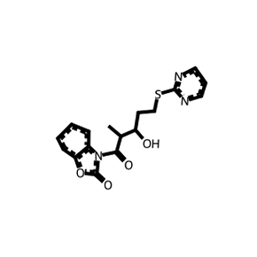 CC(C(=O)n1c(=O)oc2ccccc21)C(O)CCSc1ncccn1